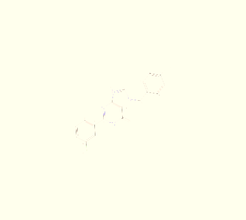 O=c1[nH]c(-c2cccc(Cl)c2)nc2ncn(Cc3ccc(F)cc3)c12